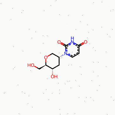 O=c1ccn([C@H]2CO[C@H](CO)[C@@H](O)C2)c(=O)[nH]1